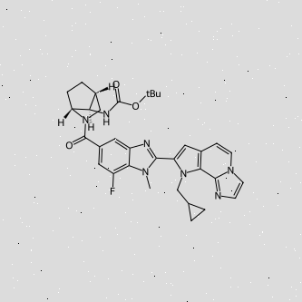 Cn1c(-c2cc3ccn4ccnc4c3n2CC2CC2)nc2cc(C(=O)N3C[C@H]4CC[C@@H]3[C@@H]4NC(=O)OC(C)(C)C)cc(F)c21